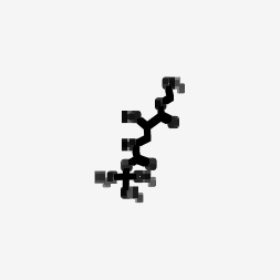 CCOC(=O)C(O)CNC(=O)OC(C)(C)C